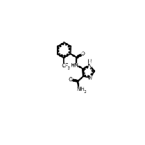 NC(=O)c1nc[nH]c1NC(=O)c1ccccc1C(F)(F)F